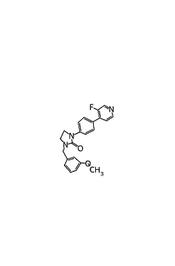 COc1cccc(CN2CCN(c3ccc(-c4ccncc4F)cc3)C2=O)c1